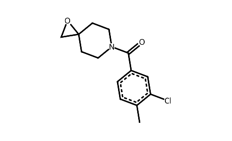 Cc1ccc(C(=O)N2CCC3(CC2)CO3)cc1Cl